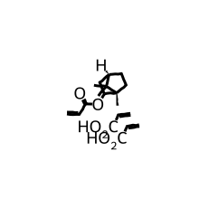 C=CC(=O)O.C=CC(=O)O.C=CC(=O)OC1C[C@H]2CC[C@@]1(C)C2(C)C